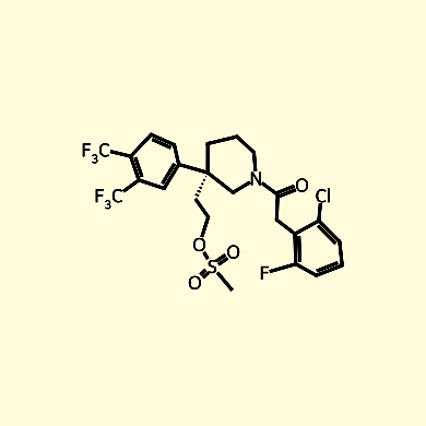 CS(=O)(=O)OCC[C@]1(c2ccc(C(F)(F)F)c(C(F)(F)F)c2)CCCN(C(=O)Cc2c(F)cccc2Cl)C1